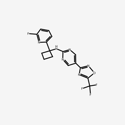 Fc1cccc(C2(Nc3ncc(-c4noc(C(F)(F)F)n4)cn3)CCC2)n1